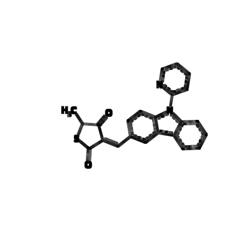 CC1SC(=O)/C(=C/c2ccc3c(c2)c2ccccc2n3-c2ccccn2)C1=O